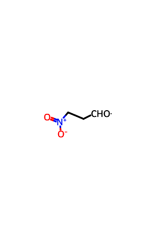 O=[C]CC[N+](=O)[O-]